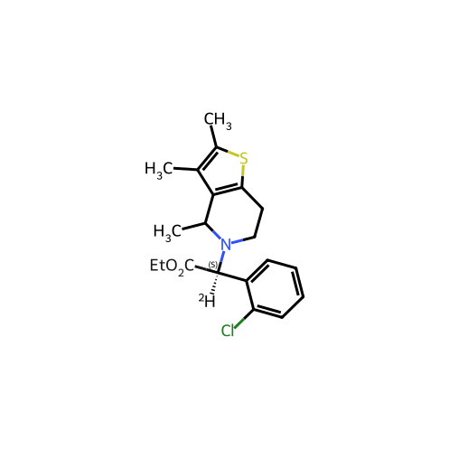 [2H][C@@](C(=O)OCC)(c1ccccc1Cl)N1CCc2sc(C)c(C)c2C1C